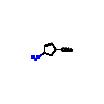 COC1C=CC(N)C1